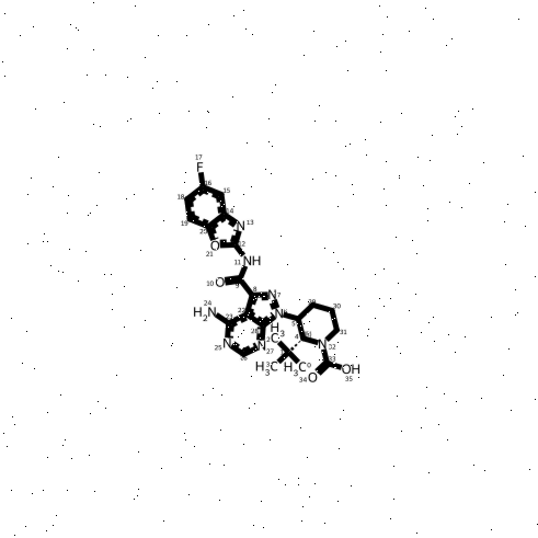 CC(C)(C)[C@@H]1C(n2nc(C(=O)Nc3nc4cc(F)ccc4o3)c3c(N)ncnc32)CCCN1C(=O)O